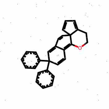 C1=CC23C=CC4=CC(c5ccccc5)(c5ccccc5)C=CC4=C2OCCC3=C1